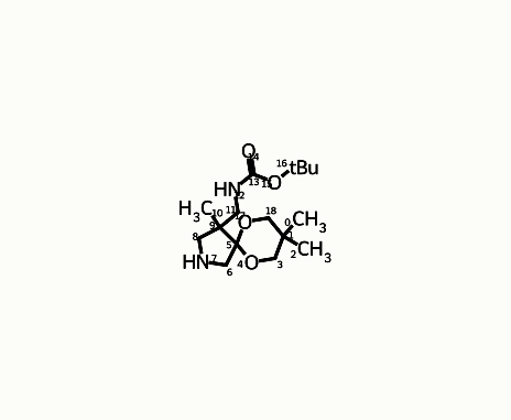 CC1(C)COC2(CNCC2(C)CNC(=O)OC(C)(C)C)OC1